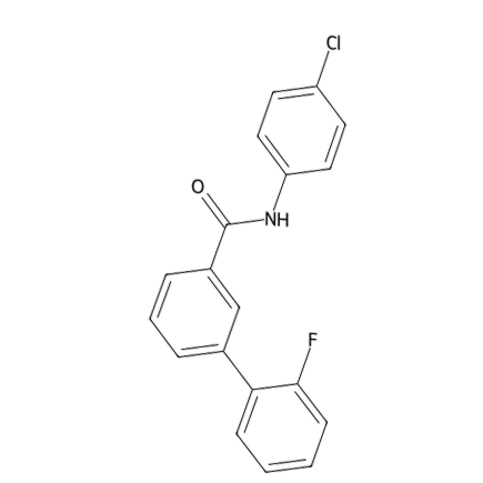 O=C(Nc1ccc(Cl)cc1)c1cccc(-c2ccccc2F)c1